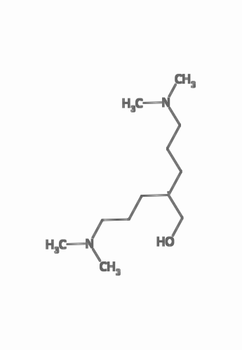 CN(C)CCC[C](CO)CCCN(C)C